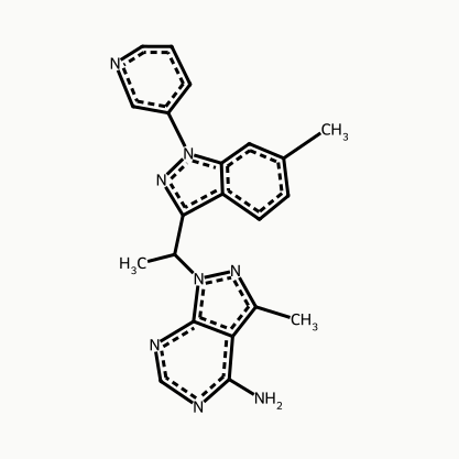 Cc1ccc2c(C(C)n3nc(C)c4c(N)ncnc43)nn(-c3cccnc3)c2c1